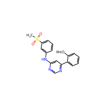 COc1ccccc1-c1cc(Nc2cccc(S(C)(=O)=O)c2)ncn1